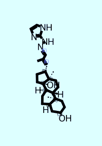 CC(/C=N/Nc1ncc[nH]1)=C\[C@H]1CC[C@]2(O)[C@@H]3CC[C@@H]4C[C@@H](O)CC[C@]4(C)[C@H]3CC[C@]12C